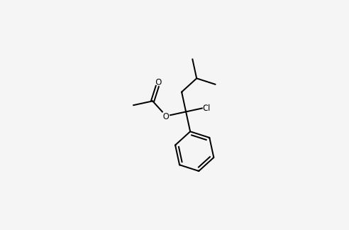 CC(=O)OC(Cl)(CC(C)C)c1ccccc1